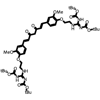 COc1cc(/C=C/C(=O)CC(=O)/C=C/c2ccc(OCCN/C(=N/C(=O)OC(C)(C)C)NC(=O)OC(C)(C)C)c(OC)c2)ccc1OCCN/C(=N/C(=O)OC(C)(C)C)NC(=O)OC(C)(C)C